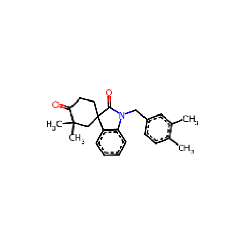 Cc1ccc(CN2C(=O)C3(CCC(=O)C(C)(C)C3)c3ccccc32)cc1C